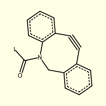 O=C(I)N1Cc2ccccc2C#Cc2ccccc21